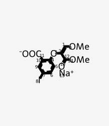 COC=C(Oc1ccc(I)cc1C(=O)[O-])C(=O)OC.[Na+]